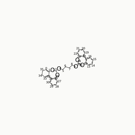 C1=C2OC(OCCCCOC3Oc4ccccc4-c4ccccc4O3)Oc3ccccc3C2=CCC1